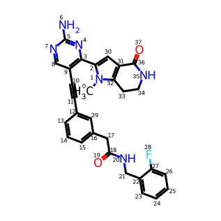 Cn1c(-c2nc(N)ncc2C#Cc2cccc(CC(=O)NCc3ccccc3F)c2)cc2c1CCNC2=O